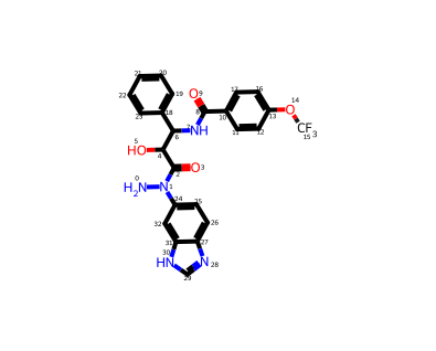 NN(C(=O)C(O)C(NC(=O)c1ccc(OC(F)(F)F)cc1)c1ccccc1)c1ccc2nc[nH]c2c1